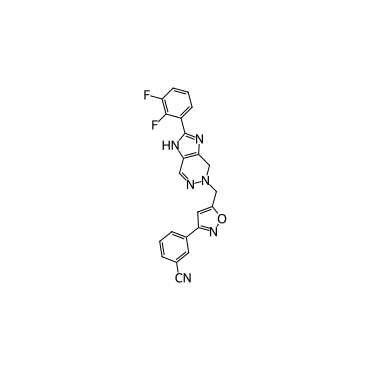 N#Cc1cccc(-c2cc(CN3Cc4nc(-c5cccc(F)c5F)[nH]c4C=N3)on2)c1